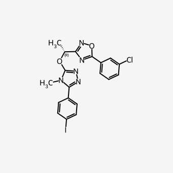 C[C@@H](Oc1nnc(-c2ccc(I)cc2)n1C)c1noc(-c2cccc(Cl)c2)n1